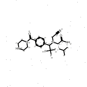 CC(C)C[C@@H](C(N)=O)N(CC#N)C(c1ccc(C(=O)N2CCNCC2)cc1)C(F)(F)F